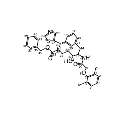 Cc1cccc(C)c1OCC(=O)NC(Cc1ccccc1)C(O)CCN(Cc1cncs1)C(=O)OCc1ccccc1